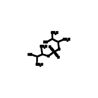 O=C(O)C(O)C(OS(=O)(=O)OC(C(=O)O)C(O)C(=O)O)C(=O)O